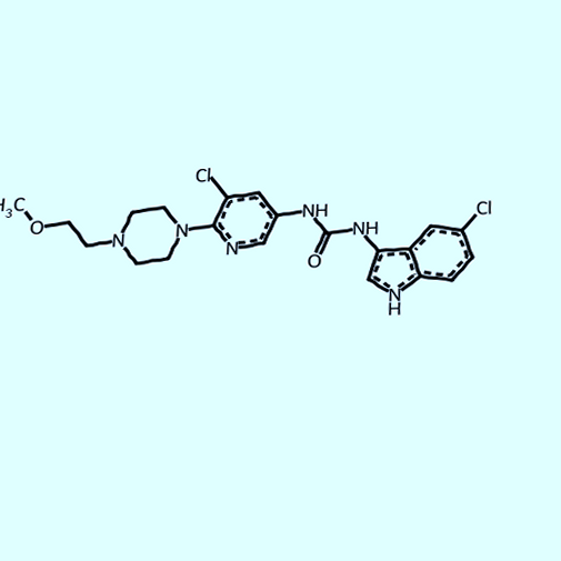 COCCN1CCN(c2ncc(NC(=O)Nc3c[nH]c4ccc(Cl)cc34)cc2Cl)CC1